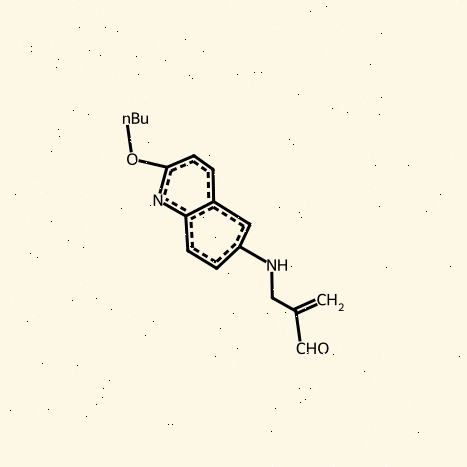 C=C(C=O)CNc1ccc2nc(OCCCC)ccc2c1